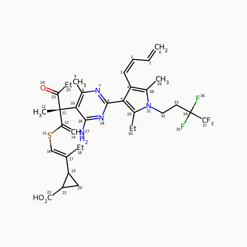 C=C/C=C\c1c(-c2nc(C)c([C@](C)(C(=C)S/C=C(\CC)C3CC3C(=O)O)C(=O)CC)c(N)n2)c(CC)n(CCC(F)(F)C(F)(F)F)c1C